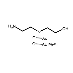 CC(=O)[O-].CC(=O)[O-].NCCNCCO.[Pb+2]